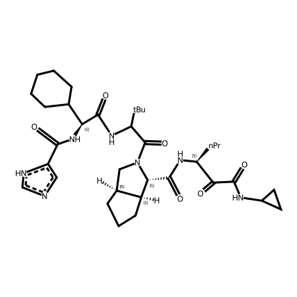 CCC[C@H](NC(=O)[C@@H]1[C@H]2CCC[C@H]2CN1C(=O)C(NC(=O)[C@@H](NC(=O)c1cnc[nH]1)C1CCCCC1)C(C)(C)C)C(=O)C(=O)NC1CC1